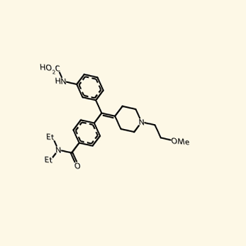 CCN(CC)C(=O)c1ccc(C(=C2CCN(CCOC)CC2)c2cccc(NC(=O)O)c2)cc1